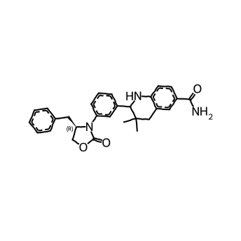 CC1(C)Cc2cc(C(N)=O)ccc2NC1c1cccc(N2C(=O)OC[C@H]2Cc2ccccc2)c1